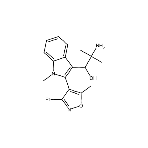 CCc1noc(C)c1-c1c(C(O)C(C)(C)N)c2ccccc2n1C